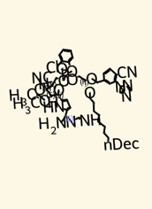 CCCCCCCCCCCCCCCCCCOC[C@H](COP(=O)(OC[C@@]1(C#N)O[C@@H](c2ccc(/C(N)=N\C=N)[nH]2)[C@@H]2OC(C)(C)O[C@@H]21)Oc1ccccc1Cl)OCc1ccc(C#N)c(-n2cncn2)c1